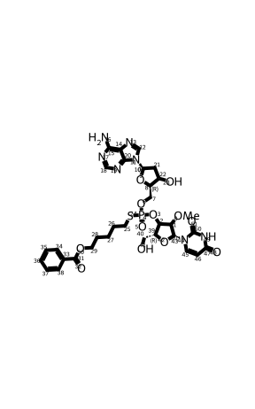 COC1C(OP(=O)(OC[C@H]2O[C@@H](n3cnc4c(N)ncnc43)CC2O)SCCCCCOC(=O)c2ccccc2)[C@@H](CO)O[C@H]1n1ccc(=O)[nH]c1=O